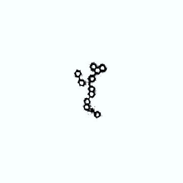 c1ccc(-c2cccc(N(c3ccc(-c4cc5ccccc5c5ccccc45)cc3)c3ccc4ccc(-c5ccc6ccc7oc(-c8ccccc8)nc7c6c5)cc4c3)c2)cc1